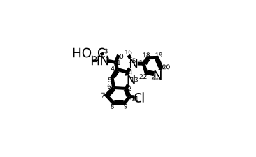 CC(NC(=O)O)c1cc2cccc(Cl)c2nc1N(C)c1cccnc1